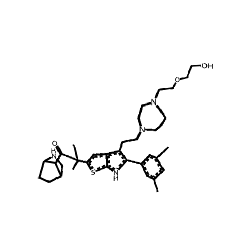 Cc1cc(C)cc(-c2[nH]c3sc(C(C)(C)C(=O)C4C5CCC4NC5)cc3c2CCN2CCN(CCOCCO)CC2)c1